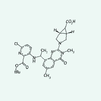 Cc1cc(C(C)Nc2ccc(Cl)nc2C(=O)OC(C)(C)C)c2nc(N3C[C@@H]4C(C(=O)O)[C@@H]4C3)n(C)c(=O)c2c1